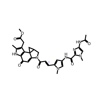 COC(=O)Cc1c(C)[nH]c2c1C13CC1CN(C(=O)/C=C/c1cc(NC(=O)c4nc(NC(C)=O)cn4C)cn1C)C3=CC2=O